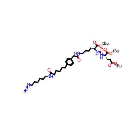 CC(C)(C)OC(=O)CC[C@H](NC(=O)N[C@@H](CCCCNC(=O)Cc1ccc(CCCCCC(=O)NCCCCCCN=[N+]=[N-])cc1)C(=O)OC(C)(C)C)C(=O)OC(C)(C)C